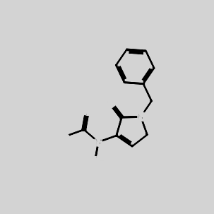 CCC(=O)N(O)C1=CCN(Cc2ccccc2)C1=O